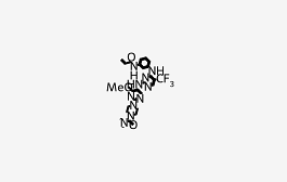 C=CC(=O)Nc1cccc(Nc2nc(Nc3cnc(N4CCN(C(=O)N(C)C)CC4)nc3OC)ncc2C(F)(F)F)c1